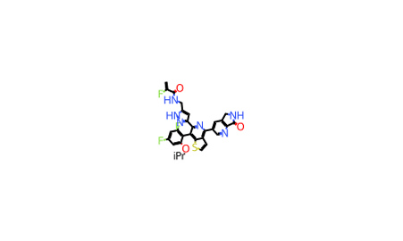 C=C(F)C(=O)NCc1cc(-c2nc(-c3cnc4c(c3)CNC4=O)c3ccsc3c2-c2c(F)cc(F)cc2OC(C)C)n[nH]1